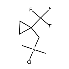 CS(C)(Cl)CC1(C(F)(F)F)CC1